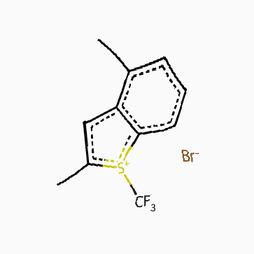 Cc1cccc2c1cc(C)[s+]2C(F)(F)F.[Br-]